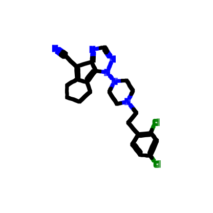 N#Cc1c2ncnn(N3CCN(CCc4ccc(Cl)cc4Cl)CC3)c-2c2c1CCCC2